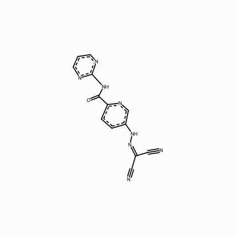 N#CC(C#N)=NNc1ccc(C(=O)Nc2ncccn2)nc1